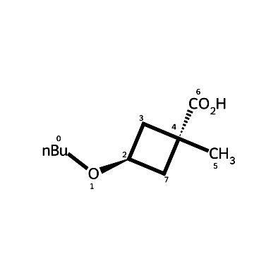 CCCCO[C@H]1C[C@](C)(C(=O)O)C1